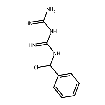 N=C(N)NC(=N)NC(Cl)c1ccccc1